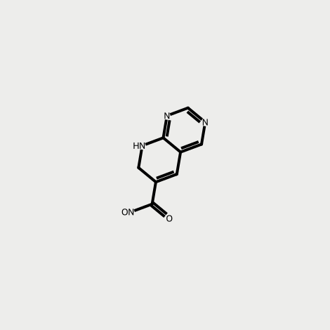 O=NC(=O)C1=Cc2cncnc2NC1